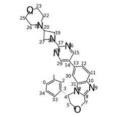 c1ccc([C@H]2COCc3nc4ccc(-c5cnc(N6CC(N7CCOCC7)C6)nc5)cc4n32)cc1